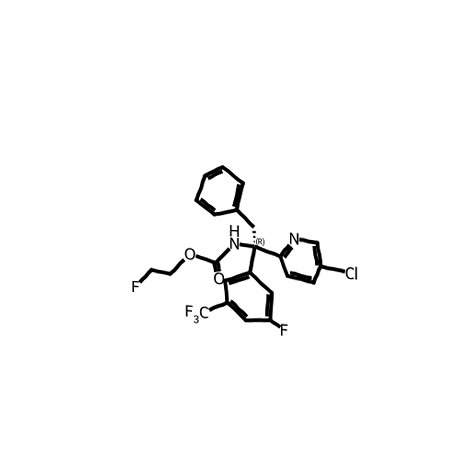 O=C(N[C@](Cc1ccccc1)(c1cc(F)cc(C(F)(F)F)c1)c1ccc(Cl)cn1)OCCF